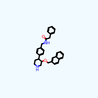 O=C(Cc1ccccc1)NCc1ccc(C2CCNCC2OCc2ccc3ccccc3c2)cc1